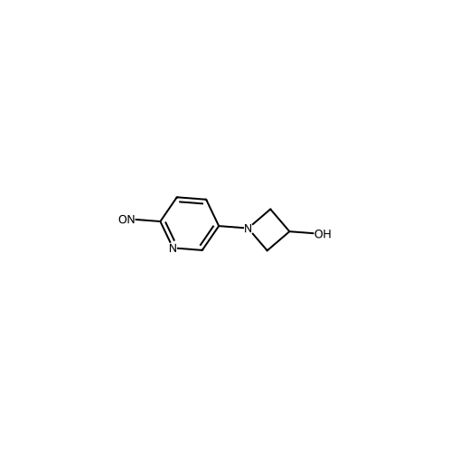 O=Nc1ccc(N2CC(O)C2)cn1